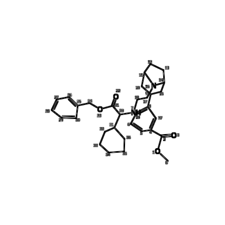 COC(=O)c1cccc(C2CC3CCC(C2)N3CCNC(C(=O)OCc2ccccc2)C2CCCCC2)c1